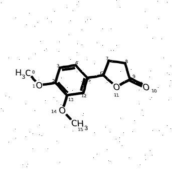 COc1ccc(C2CCC(=O)O2)cc1OC